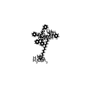 CC[C@@H](O)[C@@H](OCc1ccccc1)[C@H](CO[C@H]1OC(COCc2ccccc2)[C@H](OCc2ccccc2)C(OCc2ccccc2)C1OCc1ccccc1)NC(=O)CCCCCCCCCCCNC(=O)C(C)(C)C